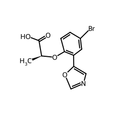 C[C@H](Oc1ccc(Br)cc1-c1cnco1)C(=O)O